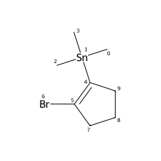 [CH3][Sn]([CH3])([CH3])[C]1=C(Br)CCC1